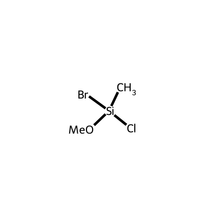 CO[Si](C)(Cl)Br